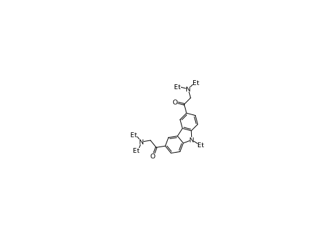 CCN(CC)CC(=O)c1ccc2c(c1)c1cc(C(=O)CN(CC)CC)ccc1n2CC